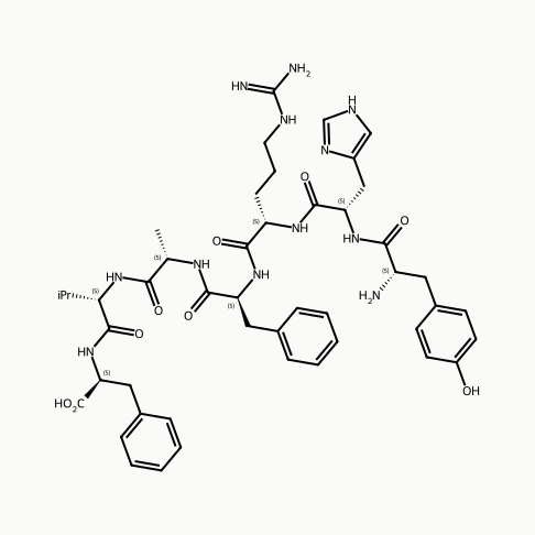 CC(C)[C@H](NC(=O)[C@H](C)NC(=O)[C@H](Cc1ccccc1)NC(=O)[C@H](CCCNC(=N)N)NC(=O)[C@H](Cc1c[nH]cn1)NC(=O)[C@@H](N)Cc1ccc(O)cc1)C(=O)N[C@@H](Cc1ccccc1)C(=O)O